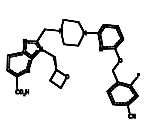 N#Cc1ccc(COc2cccc(N3CCN(Cc4nc5ccc(C(=O)O)nc5n4C[C@@H]4CCO4)CC3)n2)c(F)c1